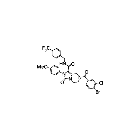 COc1ccc(-n2c(C(=O)NCc3ccc(C(F)(F)F)cc3)c3n(c2=O)CCN(C(=O)c2ccc(Br)c(Cl)c2)C3)cc1